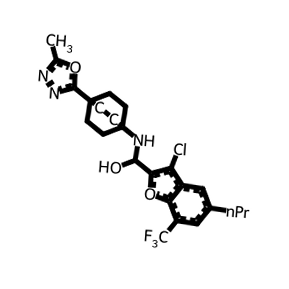 CCCc1cc(C(F)(F)F)c2oc(C(O)NC34CCC(c5nnc(C)o5)(CC3)CC4)c(Cl)c2c1